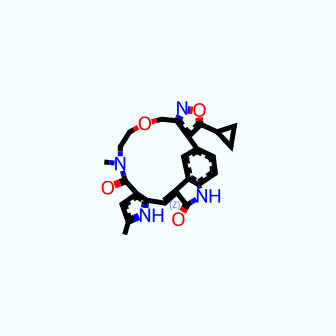 Cc1cc2c([nH]1)/C=C1\C(=O)Nc3ccc(cc31)-c1c(noc1C1CC1)COCCN(C)C2=O